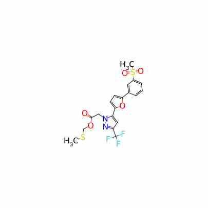 CSCOC(=O)Cn1nc(C(F)(F)F)cc1-c1ccc(-c2cccc(S(C)(=O)=O)c2)o1